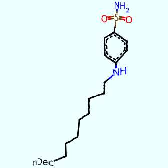 CCCCCCCCCCCCCCCCCCNc1ccc(S(N)(=O)=O)cc1